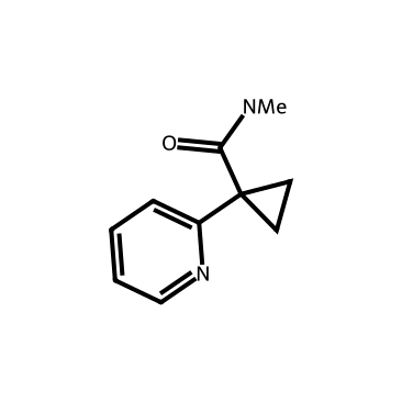 CNC(=O)C1(c2ccccn2)CC1